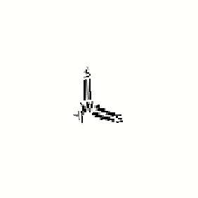 [Hf].[S]=[W]=[S]